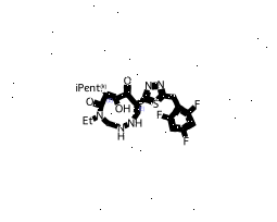 CCC[C@@H](C)/C1=C(/O)C(=O)/C(c2nnc(Cc3c(F)cc(F)cc3F)s2)=C\NNCN(CC)C1=O